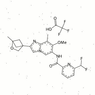 COc1c(NC(=O)c2cccc(C(F)F)n2)cn2cc(C34COC(C)(C3)C4)nc2c1C.O=C(O)C(F)(F)F